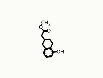 COC(=O)CC1CCc2c(O)cccc2C1